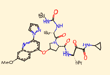 CCC[C@H](NC(=O)C1CC(Oc2cc(-n3cccn3)nc3cc(OC)ccc23)CN1C(=O)[C@@H](NC(=O)NC(C)(C)C)C(C)(C)C)C(=O)C(=O)NC1CC1